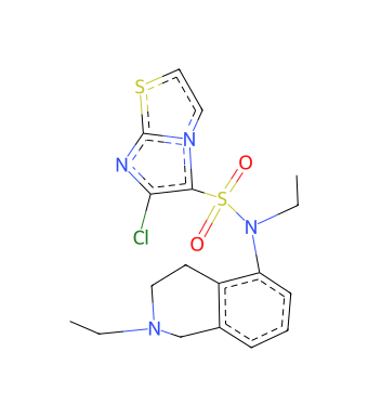 CCN1CCc2c(cccc2N(CC)S(=O)(=O)c2c(Cl)nc3sccn23)C1